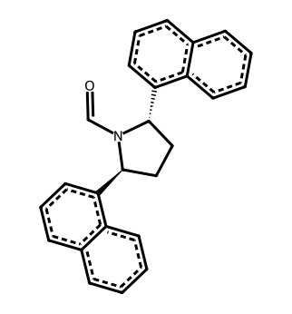 O=CN1[C@H](c2cccc3ccccc23)CC[C@H]1c1cccc2ccccc12